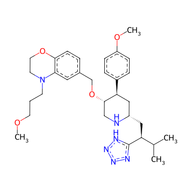 COCCCN1CCOc2ccc(CO[C@H]3CN[C@@H](C[C@H](c4nnn[nH]4)C(C)C)C[C@@H]3c3ccc(OC)cc3)cc21